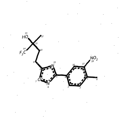 Cc1ccc(-c2noc(CCC(C)(O)C(F)(F)F)n2)cc1[N+](=O)[O-]